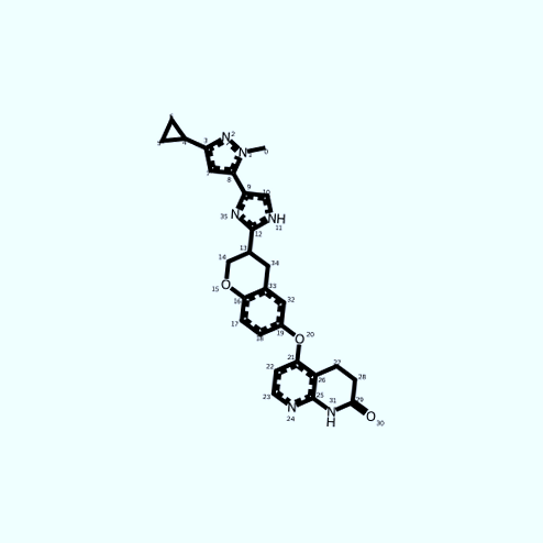 Cn1nc(C2CC2)cc1-c1c[nH]c(C2COc3ccc(Oc4ccnc5c4CCC(=O)N5)cc3C2)n1